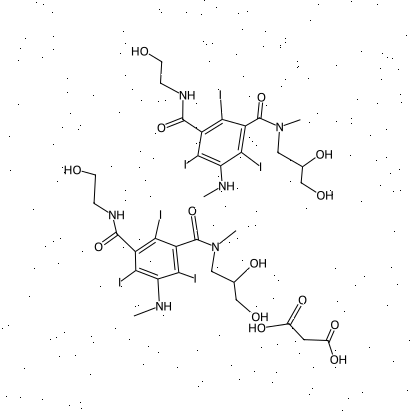 CNc1c(I)c(C(=O)NCCO)c(I)c(C(=O)N(C)CC(O)CO)c1I.CNc1c(I)c(C(=O)NCCO)c(I)c(C(=O)N(C)CC(O)CO)c1I.O=C(O)CC(=O)O